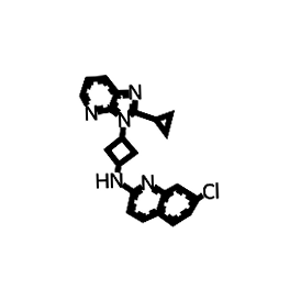 Clc1ccc2ccc(NC3CC(n4c(C5CC5)nc5cccnc54)C3)nc2c1